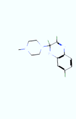 CN1CCN(C2(Cl)Nc3cc(Cl)ccc3N=C2Cl)CC1